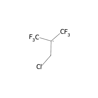 FC(F)(F)[C](CCl)C(F)(F)F